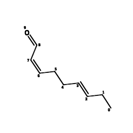 CCC=CCC/C=C\C=O